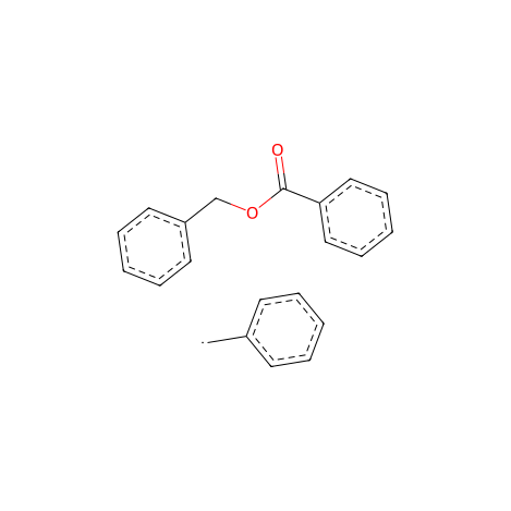 O=C(OCc1ccccc1)c1ccccc1.[CH2]c1ccccc1